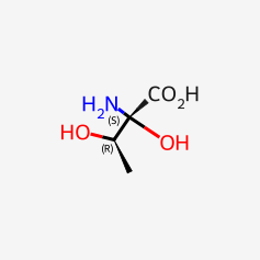 C[C@@H](O)[C@](N)(O)C(=O)O